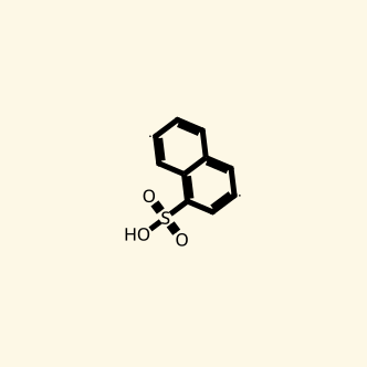 O=S(=O)(O)c1c[c]cc2cc[c]cc12